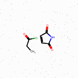 CCC(=O)Cl.O=C1C=CC(=O)N1